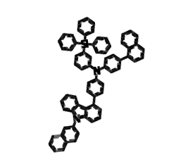 c1ccc([Si](c2ccccc2)(c2ccccc2)c2cccc(N(c3ccc(-c4cccc5ccccc45)cc3)c3ccc(-c4cccc5c4c4ccccc4n5-c4ccc5ccccc5c4)cc3)c2)cc1